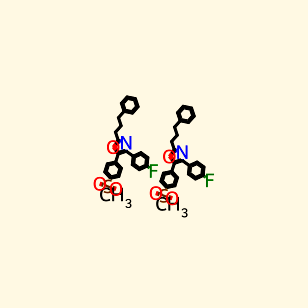 CS(=O)(=O)c1ccc(-c2oc(CCCc3ccccc3)nc2-c2ccc(F)cc2)cc1.CS(=O)(=O)c1ccc(-c2oc(CCCc3ccccc3)nc2-c2ccc(F)cc2)cc1